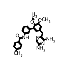 COc1cc(Cc2ncc(N)nc2N)cc(-c2cccc(NC(=O)c3ccc(C)cc3)c2)c1OC